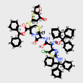 O=C(NC1C(=O)N2CC(Sc3cc(=O)c4occc4s3)(C(=O)OC(c3ccccc3)c3ccccc3)CS[C@H]12)C(=NOC(c1ccccc1)(c1ccccc1)c1ccccc1)c1nc(NC(c2ccccc2)(c2ccccc2)c2ccccc2)sc1Cl